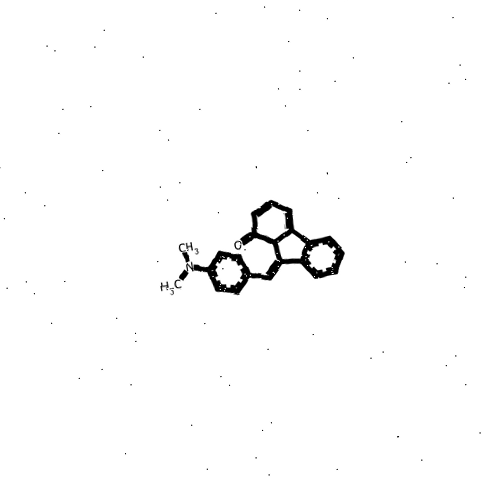 CN(C)c1ccc(C=C2c3ccccc3C3=CC=CC(=O)C32)cc1